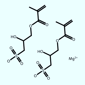 C=C(C)C(=O)OCC(O)CS(=O)(=O)[O-].C=C(C)C(=O)OCC(O)CS(=O)(=O)[O-].[Mg+2]